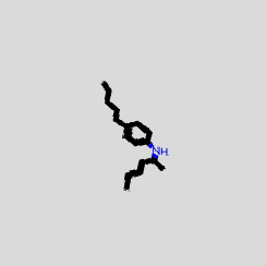 CCCCCc1ccc(NC(C)CCCC)cc1